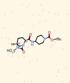 CC(C)(C)OC(=O)N1CCC(NC(=O)[C@@H]2CC[C@@H]3CN2C(=O)N3S(=O)(=O)O)CC1